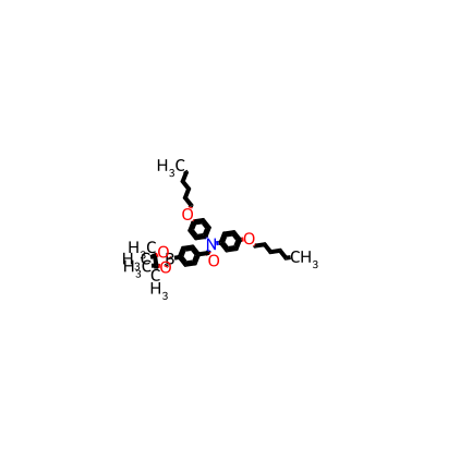 CCCCCCOc1ccc(N(C(=O)c2ccc(B3OC(C)(C)C(C)(C)O3)cc2)c2ccc(OCCCCCC)cc2)cc1